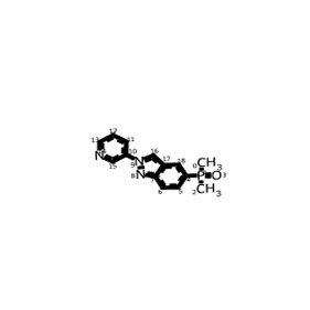 CP(C)(=O)c1ccc2nn(-c3cccnc3)cc2c1